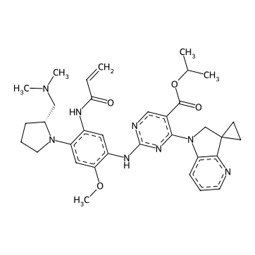 C=CC(=O)Nc1cc(Nc2ncc(C(=O)OC(C)C)c(N3CC4(CC4)c4ncccc43)n2)c(OC)cc1N1CCC[C@@H]1CN(C)C